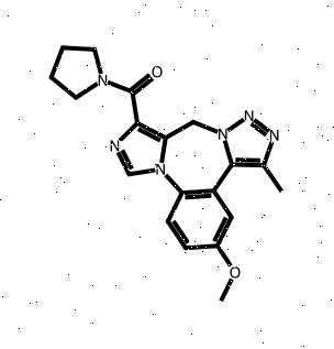 COc1ccc2c(c1)-c1c(C)nnn1Cc1c(C(=O)N3CCCC3)ncn1-2